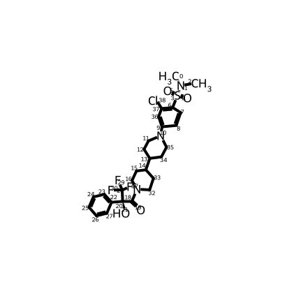 CN(C)S(=O)(=O)c1ccc(N2CCC(C3CCN(C(=O)[C@](O)(c4ccccc4)C(F)(F)F)CC3)CC2)cc1Cl